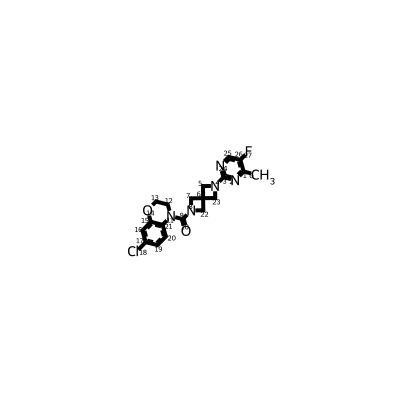 Cc1nc(N2CC3(CN(C(=O)N4CCOc5cc(Cl)ccc54)C3)C2)ncc1F